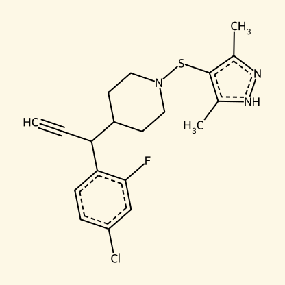 C#CC(c1ccc(Cl)cc1F)C1CCN(Sc2c(C)n[nH]c2C)CC1